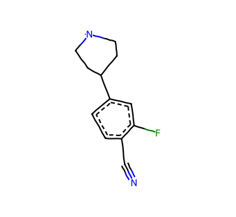 N#Cc1ccc(C2CC[N]CC2)cc1F